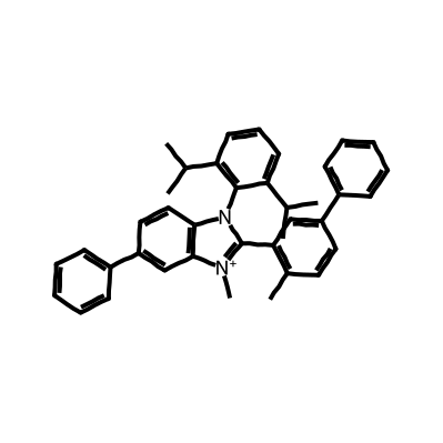 Cc1ccc(-c2ccccc2)cc1-c1n(-c2c(C(C)C)cccc2C(C)C)c2ccc(-c3ccccc3)cc2[n+]1C